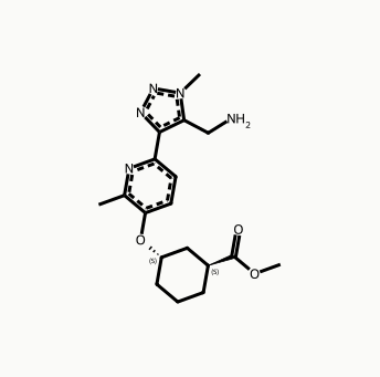 COC(=O)[C@H]1CCC[C@H](Oc2ccc(-c3nnn(C)c3CN)nc2C)C1